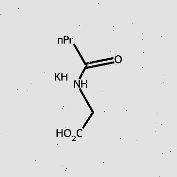 CCCC(=O)NCC(=O)O.[KH]